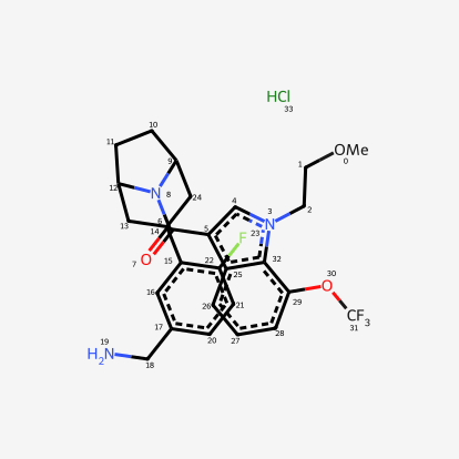 COCCn1cc(C(=O)N2C3CCC2CC(c2cc(CN)ccc2F)C3)c2cccc(OC(F)(F)F)c21.Cl